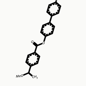 CCCCCc1ccc(-c2ccc(OC(=O)c3ccc(C(C)OC)cc3)cc2)cc1